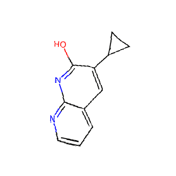 Oc1nc2ncccc2cc1C1CC1